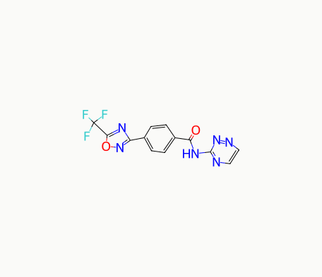 O=C(Nc1nccnn1)c1ccc(-c2noc(C(F)(F)F)n2)cc1